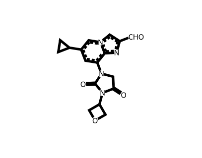 O=Cc1cn2cc(C3CC3)cc(N3CC(=O)N(C4COC4)C3=O)c2n1